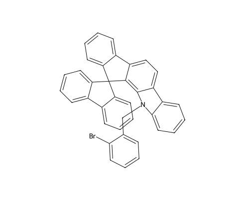 Brc1ccccc1Cn1c2ccccc2c2ccc3c(c21)C1(c2ccccc2-c2ccccc21)c1ccccc1-3